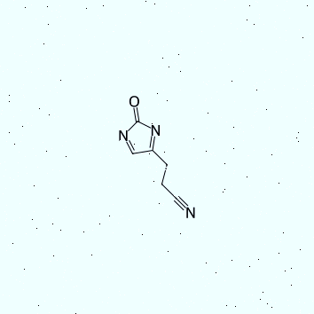 N#CCCC1=NC(=O)N=C1